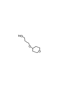 OCCCOC1CCOCC1